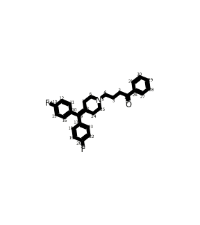 O=C(CCCN1CCC(=C(c2ccc(F)cc2)c2ccc(F)cc2)CC1)c1ccccc1